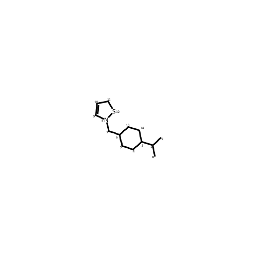 CC(C)C1CCC(CN2C=CCS2)CC1